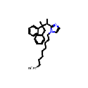 CCCCCCCCCCCCCCCCCCn1ccnc1C(C)C(C)(Cc1ccccc1)c1ccccc1